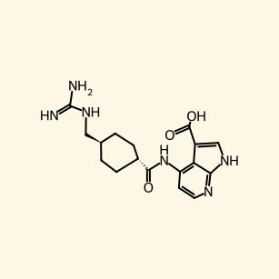 N=C(N)NC[C@H]1CC[C@H](C(=O)Nc2ccnc3[nH]cc(C(=O)O)c23)CC1